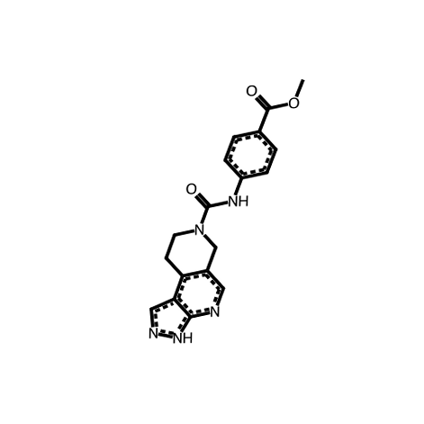 COC(=O)c1ccc(NC(=O)N2CCc3c(cnc4[nH]ncc34)C2)cc1